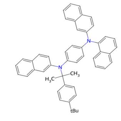 CC(C)(C)c1ccc(C(C)(C)N(c2ccc(N(c3ccc4ccccc4c3)c3cccc4ccccc34)cc2)c2ccc3ccccc3c2)cc1